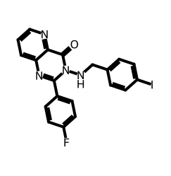 O=c1c2ncccc2nc(-c2ccc(F)cc2)n1NCc1ccc(I)cc1